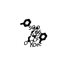 CCCCCCCCCCOC(=O)CN(CP(=O)(OSc1cccc(C)c1)OSc1cccc(C)c1)C(=O)C(F)(F)F